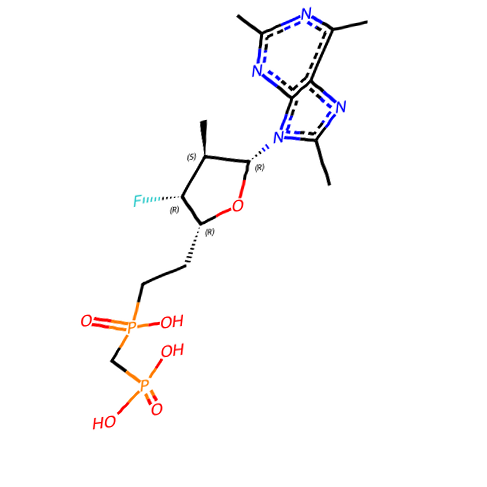 Cc1nc(C)c2nc(C)n([C@@H]3O[C@H](CCP(=O)(O)CP(=O)(O)O)[C@H](F)[C@H]3C)c2n1